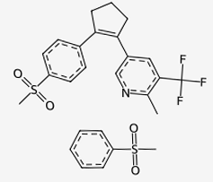 CS(=O)(=O)c1ccccc1.Cc1ncc(C2=C(c3ccc(S(C)(=O)=O)cc3)CCC2)cc1C(F)(F)F